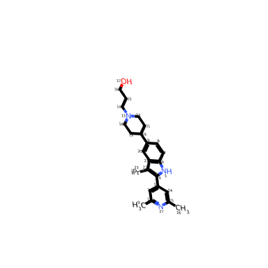 Cc1cc(-c2[nH]c3ccc(C4CCN(CCCO)CC4)cc3c2C(C)C)cc(C)n1